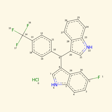 Cl.Fc1ccc2[nH]cc([C](c3ccc(C(F)(F)F)cc3)c3c[nH]c4ccccc34)c2c1